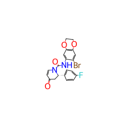 O=C1C=CN(C(=O)Nc2cc3c(cc2Br)OCCO3)[C@H](c2ccc(F)cc2)C1